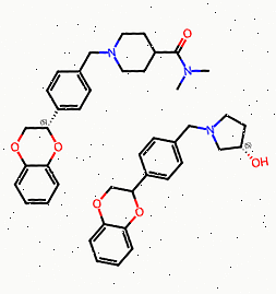 CN(C)C(=O)C1CCN(Cc2ccc([C@H]3COc4ccccc4O3)cc2)CC1.O[C@H]1CCN(Cc2ccc(C3COc4ccccc4O3)cc2)C1